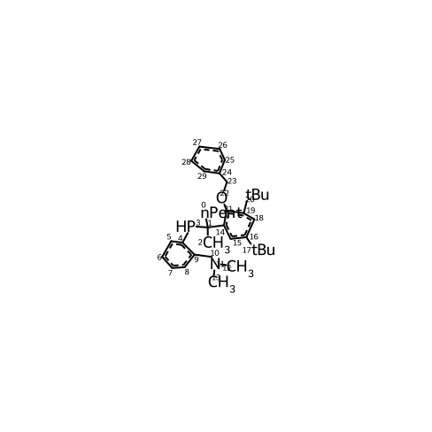 CCCCCC(C)(Pc1ccccc1CN(C)C)c1cc(C(C)(C)C)cc(C(C)(C)C)c1OCc1ccccc1